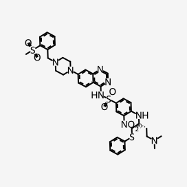 CN(C)CC[C@H](CSc1ccccc1)Nc1ccc(S(=O)(=O)Nc2ncnc3cc(N4CCN(Cc5ccccc5S(C)(=O)=O)CC4)ccc23)cc1[N+](=O)[O-]